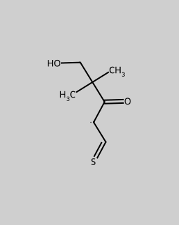 CC(C)(CO)C(=O)[CH]C=S